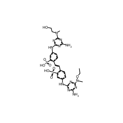 CCON(C)c1nc(N)nc(Nc2ccc(/C=C/c3ccc(Nc4nc(N)nc(N(C)CCO)n4)cc3S(=O)(=O)O)c(S(=O)(=O)O)c2)n1